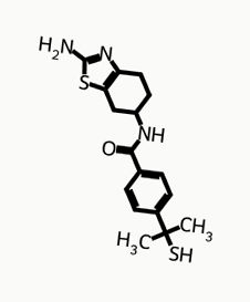 CC(C)(S)c1ccc(C(=O)NC2CCc3nc(N)sc3C2)cc1